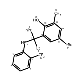 CCCC(CC)(Pc1ccccc1C(F)(F)F)c1cc(C(C)(C)C)cc(C)c1O